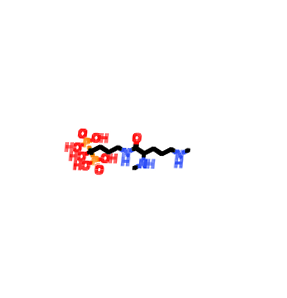 CNCCCC(NC)C(=O)NCCCC(O)(P(=O)(O)O)P(=O)(O)O